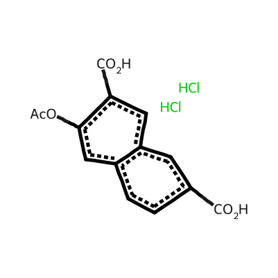 CC(=O)Oc1cc2ccc(C(=O)O)cc2cc1C(=O)O.Cl.Cl